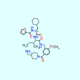 CCC(C)C(NC(=O)[C@H](CC1CCCCC1)NC(=O)c1ccco1)C(=O)NCc1cc(C(=O)N2CCC(CN)CC2)ccc1OC